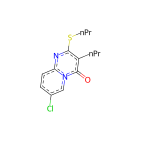 CCCSc1nc2ccc(Cl)cn2c(=O)c1CCC